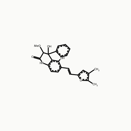 COC1C(=O)Nc2ccc(C=Cc3cc(C)c(C)o3)c(O)c2C1(O)c1ccccc1